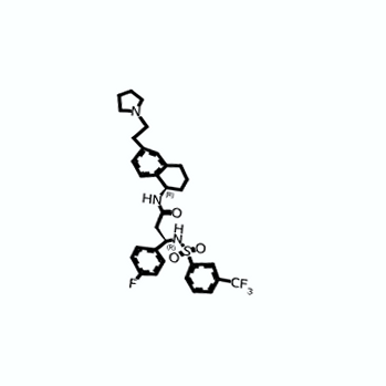 O=C(C[C@@H](NS(=O)(=O)c1cccc(C(F)(F)F)c1)c1ccc(F)cc1)N[C@@H]1CCCc2cc(CCN3CCCC3)ccc21